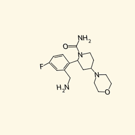 NCc1cc(F)ccc1C1CC(N2CCOCC2)CCN1C(N)=O